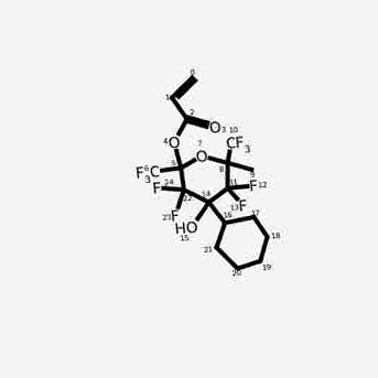 C=CC(=O)OC1(C(F)(F)F)OC(C)(C(F)(F)F)C(F)(F)C(O)(C2CCCCC2)C1(F)F